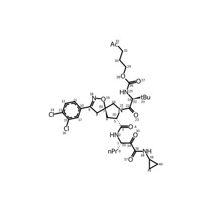 CCC[C@H](NC(=O)[C@@H]1C[C@]2(CC(c3ccc(Cl)c(Cl)c3)=NO2)CN1C(=O)[C@@H](NC(=O)OCCCC(C)=O)C(C)(C)C)C(=O)C(=O)NC1CC1